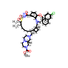 C[C@@H]1[C@@H](C)CCC[C@H](CN2CCN3CCN(C(=O)OC(C)(C)C)C[C@H]3C2)[C@@H]2CC[C@H]2CN2C[C@@]3(CCCC4C=C(Cl)C=CC43C)COc3ccc(cc32)C(=O)NS1(=O)=O